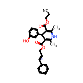 CC1=C(C(=O)OC/C=C/c2ccccc2)C(c2cccc(O)c2)C(C(=O)OCCC#N)=C(C)N1